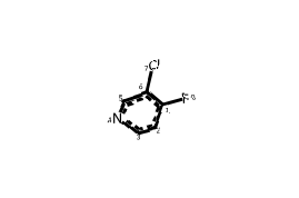 Fc1ccncc1Cl